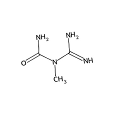 CN(C(=N)N)C(N)=O